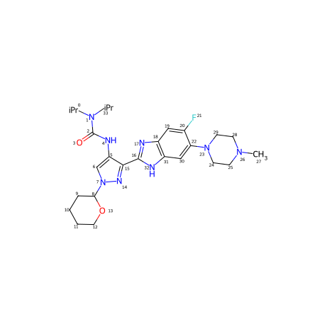 CC(C)N(C(=O)Nc1cn(C2CCCCO2)nc1-c1nc2cc(F)c(N3CCN(C)CC3)cc2[nH]1)C(C)C